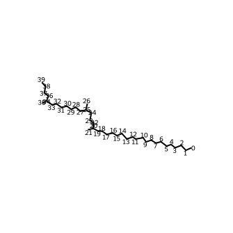 CCCCCCCCCCCCCCCCCCCCC(C)CCCC(C)CCCCCCCC(C)CCCC